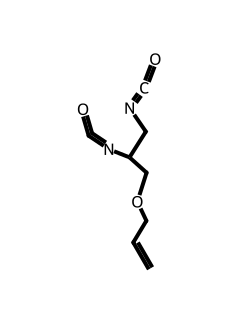 C=CCOCC(CN=C=O)N=C=O